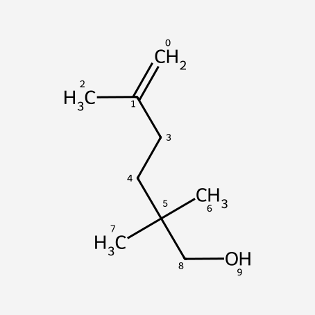 C=C(C)CCC(C)(C)CO